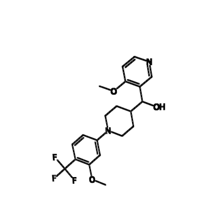 COc1ccncc1C(O)C1CCN(c2ccc(C(F)(F)F)c(OC)c2)CC1